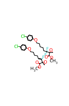 COC(=O)C1(C(F)(F)CCCCCOc2ccc(Cl)cc2)CO1.COC(=O)C1(C(F)=CCCCCOc2ccc(Cl)cc2)CO1